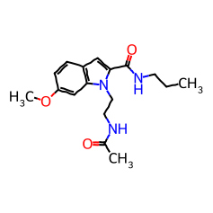 CCCNC(=O)c1cc2ccc(OC)cc2n1CCNC(C)=O